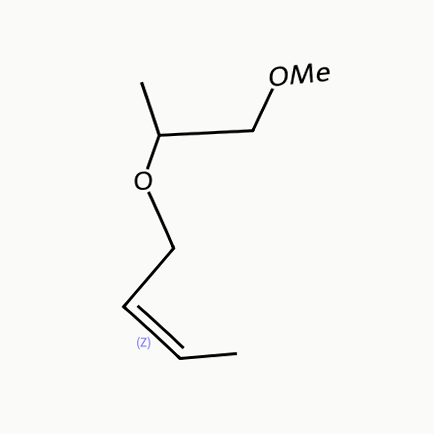 C/C=C\COC(C)COC